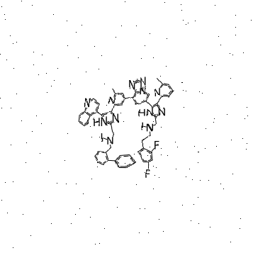 Cc1cccc(-c2nc(CN(I)CCc3ccc(F)cc3F)[nH]c2-c2cc(-c3cc(C)nc(-c4nc(CN(I)Cc5ccccc5-c5ccccc5)[nH]c4-c4ccnc5ccccc45)c3)c3ncnn3c2)n1